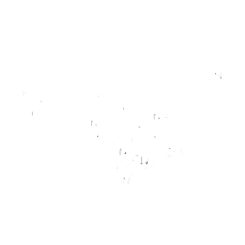 COC1(C(O)(c2ccc(C#N)cc2)c2cncn2C)Nc2ccccc2C(Cl)=C1CN1CCC(C(F)(F)F)CC1